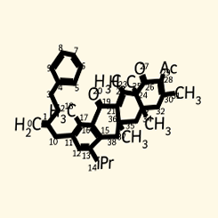 C=C(CCc1ccccc1)Cc1cc(C(C)C)c2c(c1C)C(=O)C1=C(C)C3(C)C(=O)C(C(C)=O)=C(C)CC3(C)CC1(C)C2